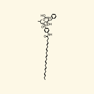 CCC=CCC=CCC=CCC=CCC=CCC=CCCC(=O)Nc1ccc(S(=O)(=O)N(CC(C)C)C[C@@H](O)[C@H](Cc2ccccc2)NC(=O)O)cc1